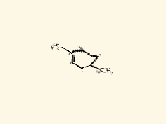 CC1CC=C(C(F)(F)F)CC1